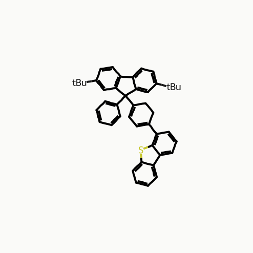 CC(C)(C)c1ccc2c(c1)C(C1=CC=C(c3cccc4c3sc3ccccc34)CC1)(c1ccccc1)c1cc(C(C)(C)C)ccc1-2